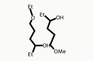 CCC(O)CCCOC.CCOCCCC(O)CC